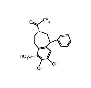 O=C(O)c1c(O)c(O)cc2c1CCN(C(=O)C(F)(F)F)CC2c1ccccc1